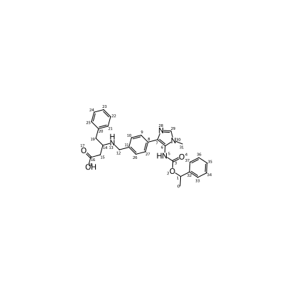 CC(OC(=O)Nc1c(-c2ccc(CNC(CC(=O)O)Cc3ccccc3)cc2)ncn1C)c1ccccc1